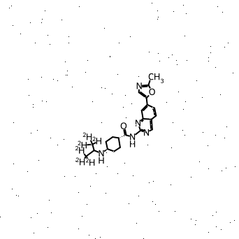 [2H]C([2H])([2H])C(N[C@H]1CC[C@H](C(=O)Nc2ncc3ccc(-c4cnc(C)o4)cc3n2)CC1)C([2H])([2H])[2H]